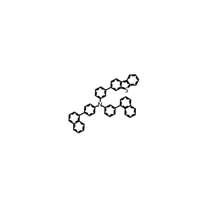 c1cc(-c2ccc3c(c2)sc2ccccc23)cc(N(c2ccc(-c3cccc4ccccc34)cc2)c2cccc(-c3cccc4ccccc34)c2)c1